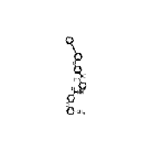 Cc1cccc(Oc2ccc(C(=O)Nc3cccc(NC(=O)c4ccc(Oc5cccc(C#Cc6ccccc6)c5)cc4)c3)cc2)c1